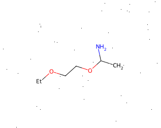 [CH2]C(N)OCCOCC